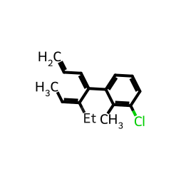 C=C/C=C(\C(=C/C)CC)c1cccc(Cl)c1C